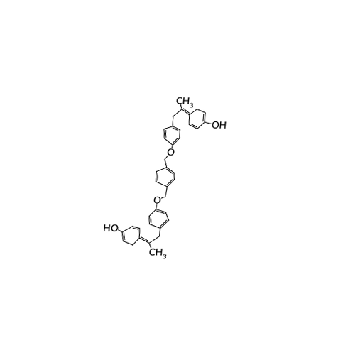 CC(Cc1ccc(OCc2ccc(COc3ccc(CC(C)=C4C=CC(O)=CC4)cc3)cc2)cc1)=C1C=CC(O)=CC1